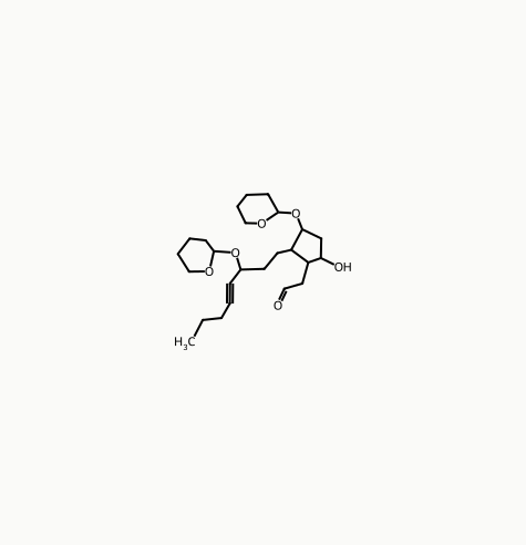 CCCC#CC(CCC1C(OC2CCCCO2)CC(O)C1CC=O)OC1CCCCO1